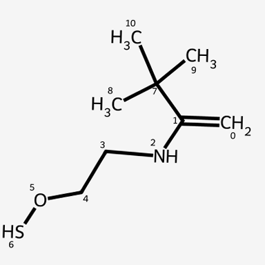 C=C(NCCOS)C(C)(C)C